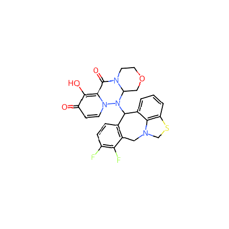 O=C1c2c(O)c(=O)ccn2N(C2c3ccc(F)c(F)c3CN3CSc4cccc2c43)C2COCCN12